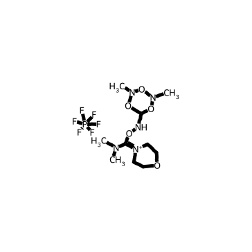 CN1OC(NOC(N(C)C)=[N+]2CCOCC2)ON(C)O1.F[P-](F)(F)(F)(F)F